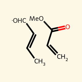 C=CC(=O)OC.CC=C[C]=O